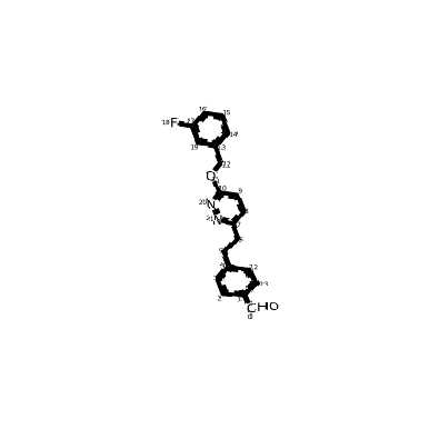 O=Cc1ccc(CCc2ccc(OCc3cccc(F)c3)nn2)cc1